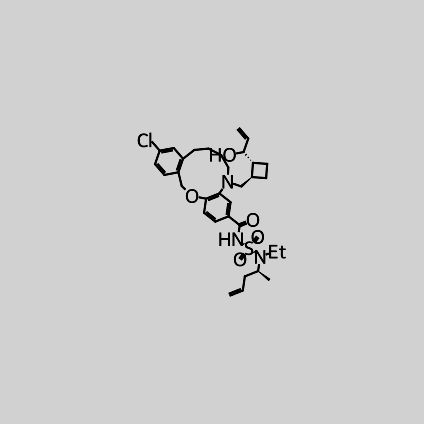 C=CC[C@H](C)N(CC)S(=O)(=O)NC(=O)c1ccc2c(c1)N(C[C@@H]1CC[C@H]1C(O)C=C)CCCCc1cc(Cl)ccc1CO2